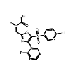 CN(Cc1nc(-c2cccnc2F)c(S(=O)(=O)c2ccc(Cl)nc2)s1)C(=O)O